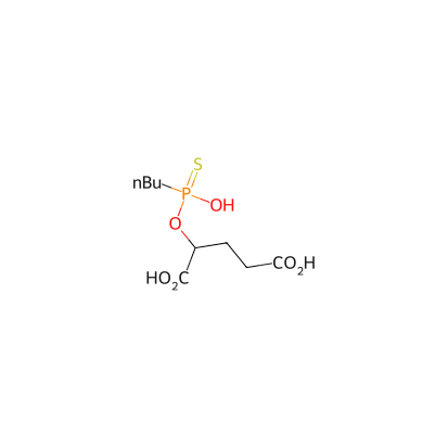 CCCCP(O)(=S)OC(CCC(=O)O)C(=O)O